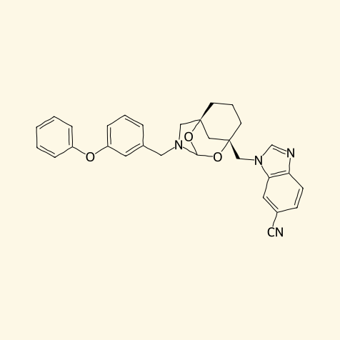 N#Cc1ccc2ncn(C[C@@]34CCC[C@@]5(CN(Cc6cccc(Oc7ccccc7)c6)C(O5)O3)C4)c2c1